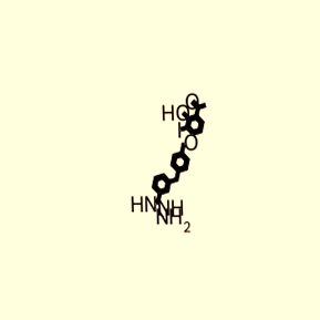 CC(=O)c1ccc(OCc2ccc(Cc3cccc(C(=N)NN)c3)cc2)c(I)c1O